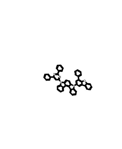 c1ccc(-c2cc(-n3c4ccccc4c4c5c6ccccc6n(-c6cc(-c7ccccc7)c7oc8ccccc8c7c6)c5ccc43)nc(-c3ccccc3)n2)cc1